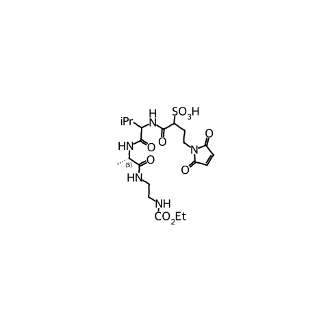 CCOC(=O)NCCNC(=O)[C@H](C)NC(=O)C(NC(=O)C(CCN1C(=O)C=CC1=O)S(=O)(=O)O)C(C)C